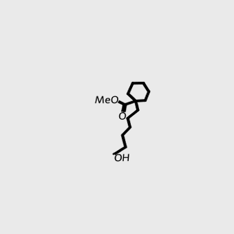 COC(=O)C1(CCCCCCO)CCCCC1